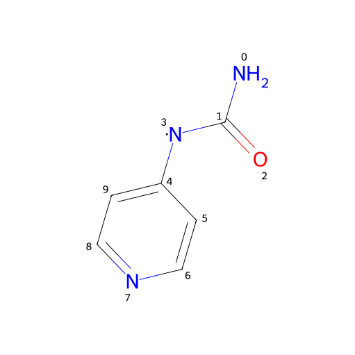 NC(=O)[N]c1ccncc1